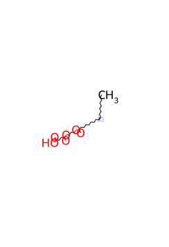 CCCCCCCC/C=C\CCCCCCCC(=O)OCCCOC(=O)CCC(=O)O